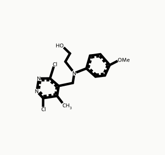 COc1ccc(N(CCO)Cc2c(Cl)nnc(Cl)c2C)cc1